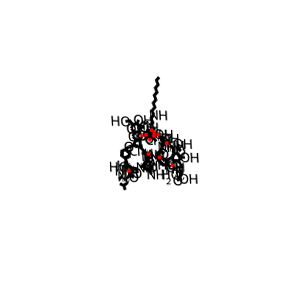 CCCCCCCCCCNCCNC1(C)CC(OC2C(Oc3c4cc5cc3Oc3ccc(cc3Cl)[C@@H](O)[C@@H](NC(=O)[C@@H](CC(C)C)NC)C(=O)N[C@@H](CC(N)=O)C(=O)N[C@H]5C(=O)N[C@H]3C(=O)N[C@H](C(=O)N[C@H](C(=O)O)c5cc(O)c(CNCP(=O)(O)O)c(O)c5-c5cc3ccc5O)[C@H](O)c3ccc(c(Cl)c3)O4)OC(CO)C(O)C2O)OC(C)C1O